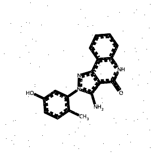 Cc1ccc(O)cc1-n1nc2c(c1N)c(=O)[nH]c1ccccc12